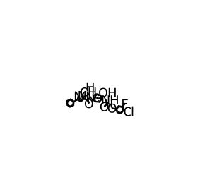 Cn1nc(-c2ccccc2)cc1C(=O)NC12CCC(NC(=O)COc3ccc(Cl)c(F)c3)(CC1)C(O)C2